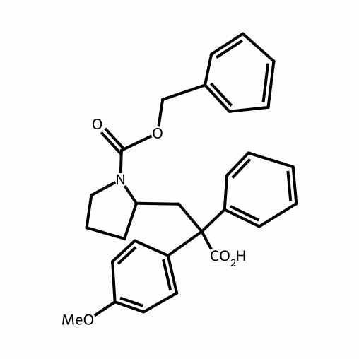 COc1ccc(C(CC2CCCN2C(=O)OCc2ccccc2)(C(=O)O)c2ccccc2)cc1